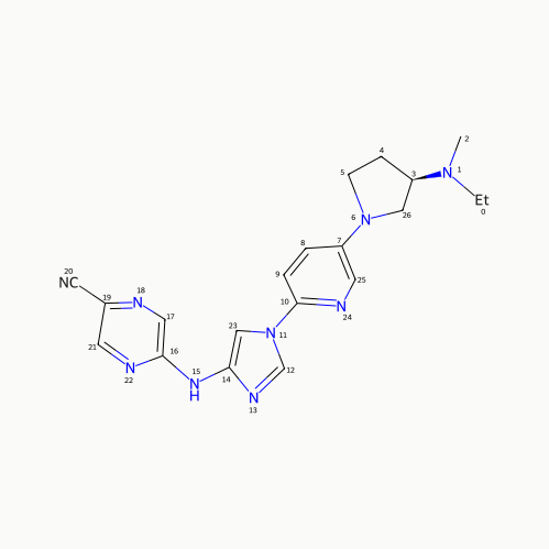 CCN(C)[C@@H]1CCN(c2ccc(-n3cnc(Nc4cnc(C#N)cn4)c3)nc2)C1